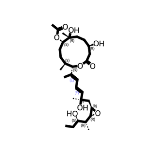 CC[C@H](O)[C@@H](C)[C@H]1O[C@@H]1C[C@@](C)(O)/C=C/C=C(\C)[C@H]1OC(=O)C[C@H](O)CC[C@@](C)(O)[C@@H](OC(C)=O)CC[C@@H]1C